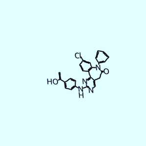 C=C(O)c1ccc(Nc2ncc3c(n2)-c2ccc(Cl)cc2N(c2ccccc2)C(=O)C3)cc1